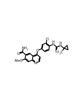 COc1cc2nccc(Oc3ccc(NC(=S)NC4(C(F)(F)F)CC4)c(Cl)c3)c2cc1C(N)=O